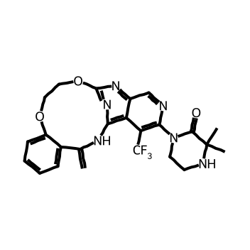 C=C1Nc2nc(nc3cnc(N4CCNC(C)(C)C4=O)c(C(F)(F)F)c23)OCCOc2ccccc21